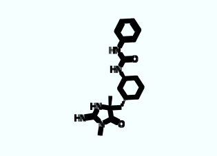 CN1C(=N)N[C@](C)(C[C@H]2CCC[C@H](NC(=O)Nc3ccccc3)C2)C1=O